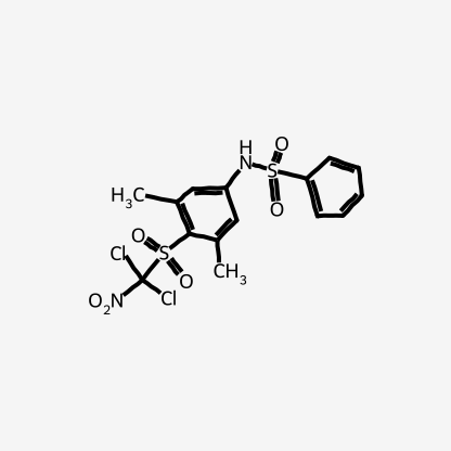 Cc1cc(NS(=O)(=O)c2ccccc2)cc(C)c1S(=O)(=O)C(Cl)(Cl)[N+](=O)[O-]